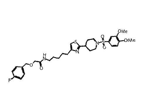 COc1ccc(S(=O)(=O)N2CCC(c3nc(CCCCCNC(=O)COCc4ccc(F)cc4)cs3)CC2)cc1OC